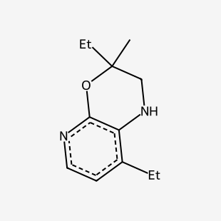 CCc1ccnc2c1NCC(C)(CC)O2